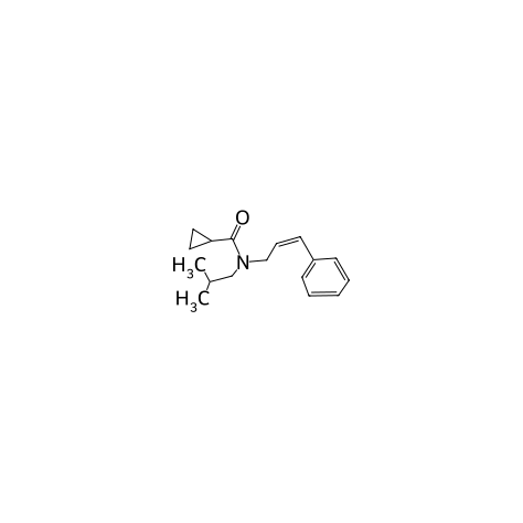 CC(C)CN(C/C=C\c1ccccc1)C(=O)C1CC1